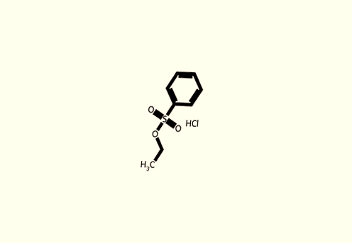 CCOS(=O)(=O)c1ccccc1.Cl